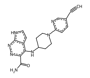 C#Cc1ccc(N2CCC(Nc3c(C(N)=O)nnc4[nH]ccc34)CC2)nc1